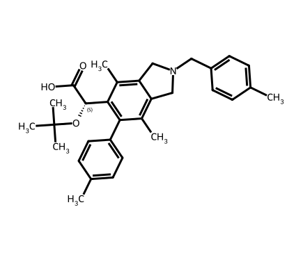 Cc1ccc(CN2Cc3c(C)c(-c4ccc(C)cc4)c([C@H](OC(C)(C)C)C(=O)O)c(C)c3C2)cc1